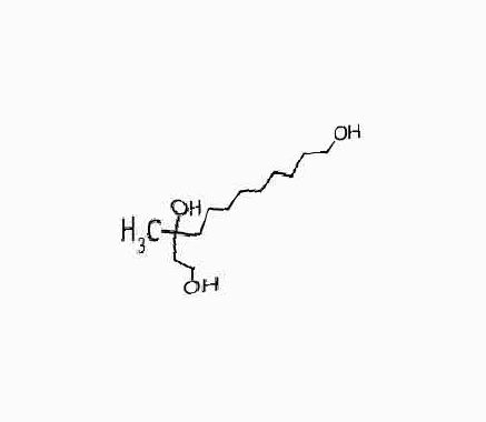 CC(O)(CCO)CCCCCCCCCO